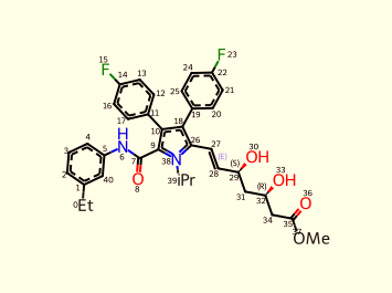 CCc1cccc(NC(=O)c2c(-c3ccc(F)cc3)c(-c3ccc(F)cc3)c(/C=C/[C@@H](O)C[C@@H](O)CC(=O)OC)n2C(C)C)c1